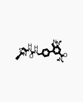 C#Cc1nc(NC(=O)NCc2ccc(-c3cc(C(=O)N(C)C)cc4c3cnn4C)cc2)cs1